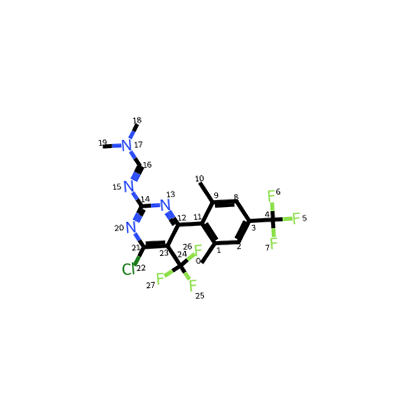 Cc1cc(C(F)(F)F)cc(C)c1-c1nc(N=CN(C)C)nc(Cl)c1C(F)(F)F